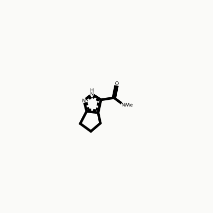 CNC(=O)c1[nH]nc2c1CCC2